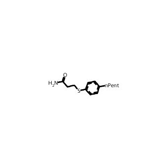 CCCCCc1ccc(SCCC(N)=O)cc1